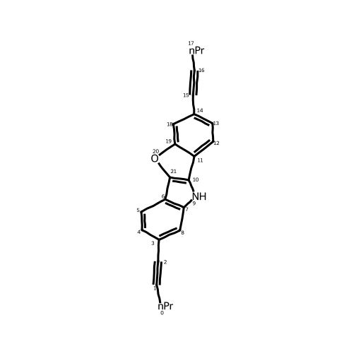 CCCC#Cc1ccc2c(c1)[nH]c1c3ccc(C#CCCC)cc3oc21